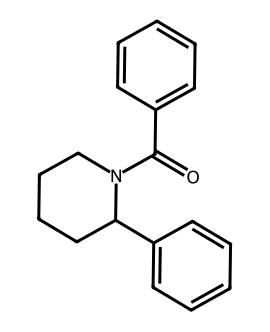 O=C(c1ccccc1)N1CCCCC1c1ccccc1